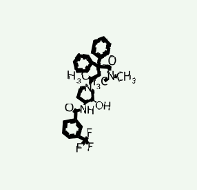 CC(CC(C(=O)N(C)C)(c1ccccc1)c1ccccc1)N1CC[C@H](NC(=O)c2cccc(C(F)(F)F)c2)[C@@H](O)C1